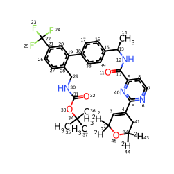 [2H]C1([2H])C=C(c2nccc(C(=O)N[C@H](C)c3ccc(-c4cc(C(F)(F)F)ccc4CNC(=O)OC(C)(C)C)cc3)n2)CC([2H])([2H])O1